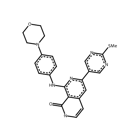 CSc1ncc(-c2cc3c(c(Nc4ccc(N5CCOCC5)cc4)n2)C(=O)[N]C=C3)cn1